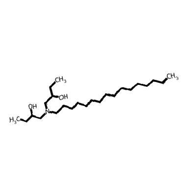 CCCCCCCCCCCCCCCCN(CC(O)CC)CC(O)CC